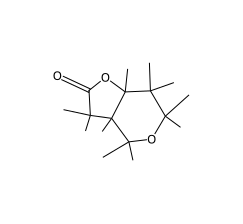 CC1(C)OC(C)(C)C2(C)C(C)(C)C(=O)OC2(C)C1(C)C